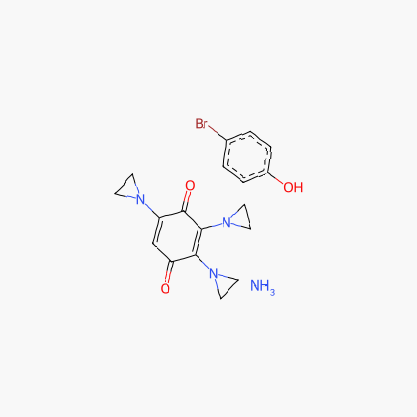 N.O=C1C=C(N2CC2)C(=O)C(N2CC2)=C1N1CC1.Oc1ccc(Br)cc1